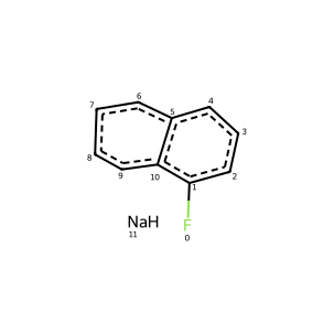 Fc1cccc2ccccc12.[NaH]